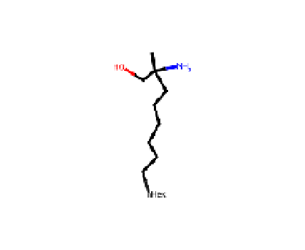 CCCCCCCCCCCCC(C)(N)CO